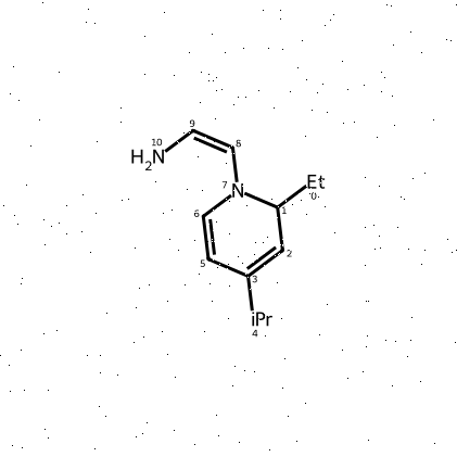 CCC1C=C(C(C)C)C=CN1/C=C\N